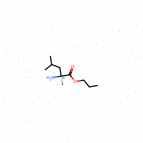 CCCOC(=O)[C@@](C)(N)CC(C)C